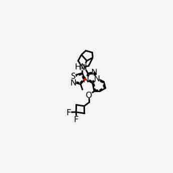 Cc1cc(N2CC3CCC(C2)C3Nc2nc3c(OCC4CC(F)(F)C4)cccn3n2)sn1